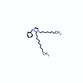 CCCCCCCCCCC1N(CCCCCCCC)C=CN1Cc1ccccc1